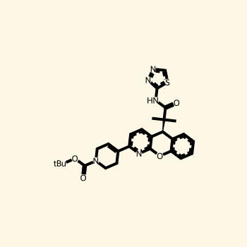 CC(C)(C)OC(=O)N1CC=C(c2ccc3c(n2)Oc2ccccc2[C@@H]3C(C)(C)C(=O)Nc2nncs2)CC1